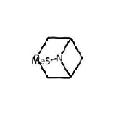 CSN1C2COCC1C2